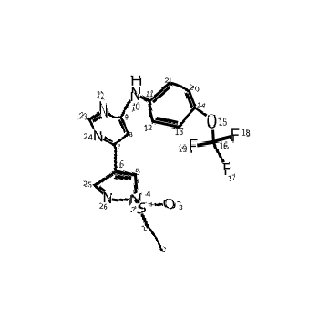 CC[S+]([O-])n1cc(-c2cc(Nc3ccc(OC(F)(F)F)cc3)ncn2)cn1